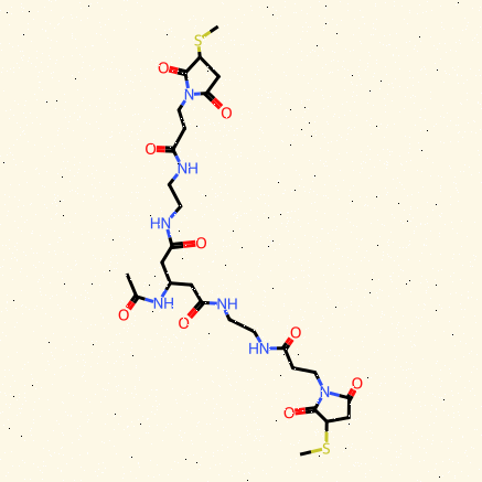 CSC1CC(=O)N(CCC(=O)NCCNC(=O)CC(CC(=O)NCCNC(=O)CCN2C(=O)CC(SC)C2=O)NC(C)=O)C1=O